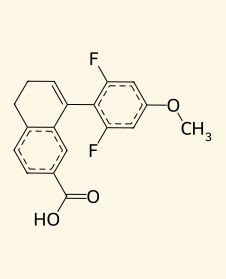 COc1cc(F)c(C2=CCCc3ccc(C(=O)O)cc32)c(F)c1